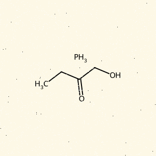 CCC(=O)CO.P